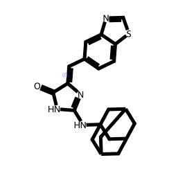 O=C1NC(NC23CC4CC(CC(C4)C2)C3)=N/C1=C\c1ccc2scnc2c1